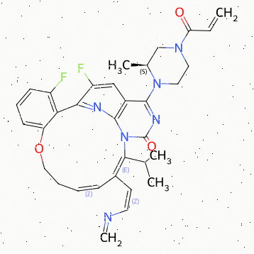 C=CC(=O)N1CCN(c2nc(=O)n3c4nc(c(F)cc24)-c2c(F)cccc2OCC\C=C/C(/C=C\N=C)=C\3C(C)C)[C@@H](C)C1